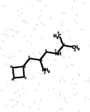 CC(C)NCC(N)CC1CCC1